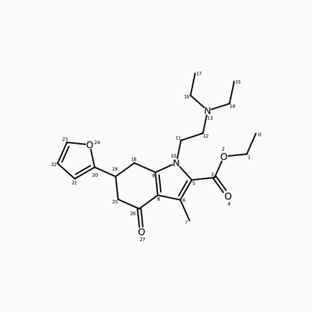 CCOC(=O)c1c(C)c2c(n1CCN(CC)CC)CC(c1ccco1)CC2=O